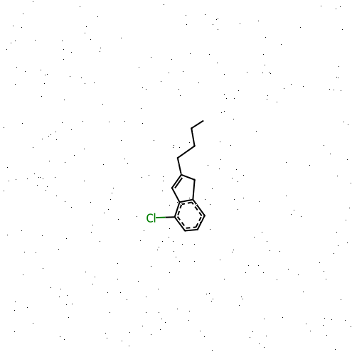 CCCCC1=Cc2c(Cl)cccc2C1